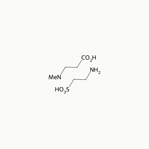 CNCCC(=O)O.NCCS(=O)(=O)O